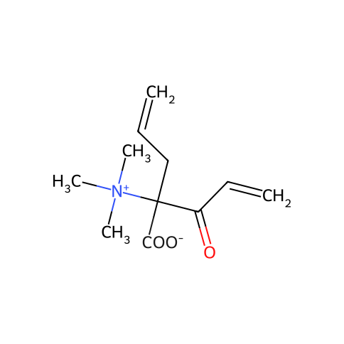 C=CCC(C(=O)[O-])(C(=O)C=C)[N+](C)(C)C